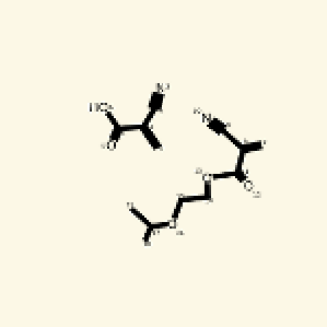 C=C(C#N)C(=O)O.C=C(C#N)C(=O)OCCOC(C)C